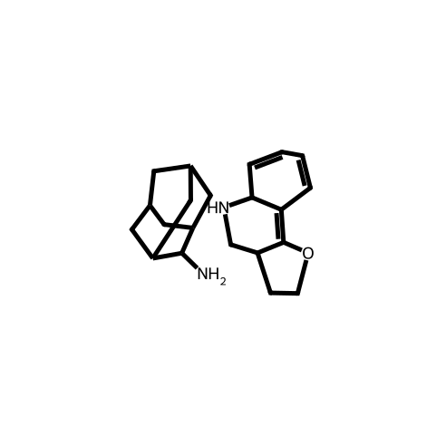 C1=CC2=C3OCCC3CNC2C=C1.NC1C2CC3CC(C2)CC1C3